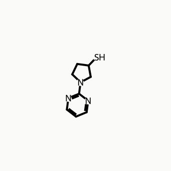 SC1CCN(c2ncccn2)C1